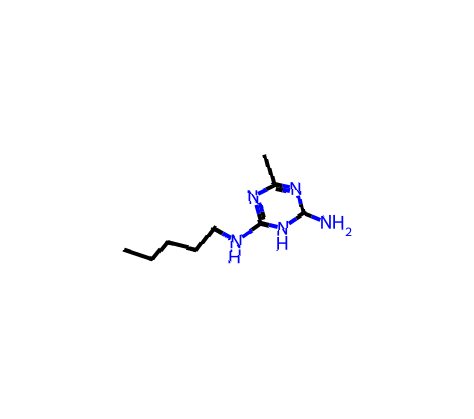 CCCCCNC1=NC(C)=NC(N)N1